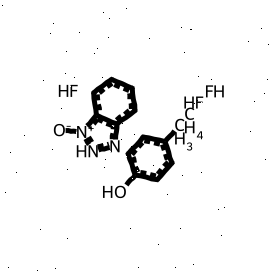 C.Cc1ccc(O)cc1.F.F.F.[O-][n+]1[nH]nc2ccccc21